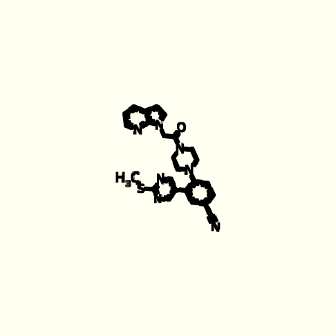 CSc1ncc(-c2cc(C#N)ccc2N2CCN(C(=O)Cn3ccc4cccnc43)CC2)cn1